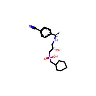 C[C@@H](NC[C@H](O)CP(=O)(O)CC1CCCCC1)c1ccc(C#N)cc1